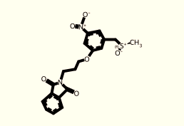 C[S@+]([O-])Cc1cc(OCCCN2C(=O)c3ccccc3C2=O)cc([N+](=O)[O-])c1